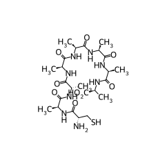 C[C@H](NC(=O)[C@H](C)NC(=O)[C@H](C)NC(=O)[C@H](C)NC(=O)[C@H](C)NC(=O)[C@H](C)NC(=O)[C@H](C)NC(=O)[C@@H](N)CS)C(=O)O